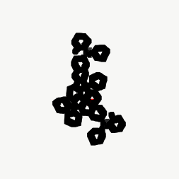 Cc1ccccc1N(c1ccccc1)c1ccc2cc3c(cc2c1)C(c1ccccc1)(c1ccccc1)c1ccc2c(c1-3)C(c1ccccc1)(c1ccccc1)c1cc3cc(N(c4ccccc4)c4ccccc4C)ccc3cc1-2